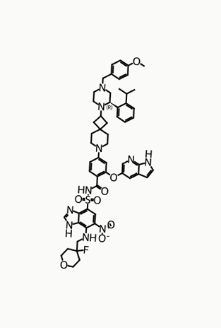 COc1ccc(CN2CCN(C3CC4(CCN(c5ccc(C(=O)NS(=O)(=O)c6cc([N+](=O)[O-])c(NCC7(F)CCOCC7)c7[nH]cnc67)c(Oc6cnc7[nH]ccc7c6)c5)CC4)C3)[C@H](c3ccccc3C(C)C)C2)cc1